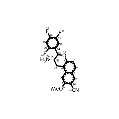 COc1cc2c3c(ccc2cc1C#N)OC(c1cc(F)c(F)cc1F)[C@@H](N)C3